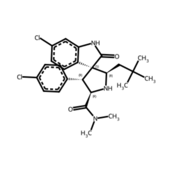 CN(C)C(=O)[C@@H]1N[C@H](CC(C)(C)C)[C@]2(C(=O)Nc3cc(Cl)ccc32)[C@H]1c1ccc(Cl)cc1